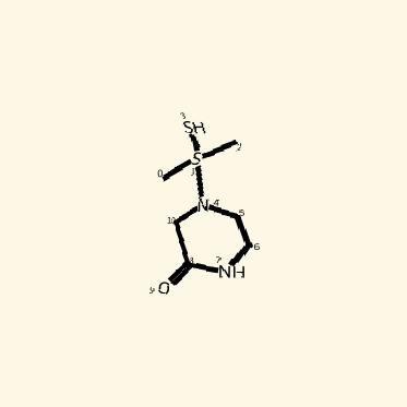 CS(C)(S)N1CCNC(=O)C1